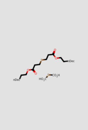 CCCCCCCCCCCCOC(=O)CCSCCC(=O)OCCCCCCCCCCCC.O=C(O)SC(=O)O